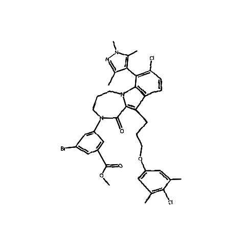 COC(=O)c1cc(Br)cc(N2CCCn3c(c(CCCOc4cc(C)c(Cl)c(C)c4)c4ccc(Cl)c(-c5c(C)nn(C)c5C)c43)C2=O)c1